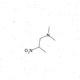 CC(CN(C)C)[N+](=O)[O-]